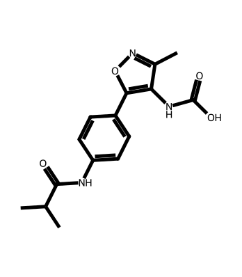 Cc1noc(-c2ccc(NC(=O)C(C)C)cc2)c1NC(=O)O